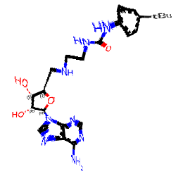 CC(C)(C)c1ccc(NC(=O)NCCNC[C@H]2O[C@@H](n3cnc4c(N)ncnc43)[C@H](O)[C@@H]2O)cc1